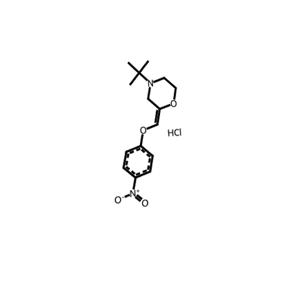 CC(C)(C)N1CCOC(=COc2ccc([N+](=O)[O-])cc2)C1.Cl